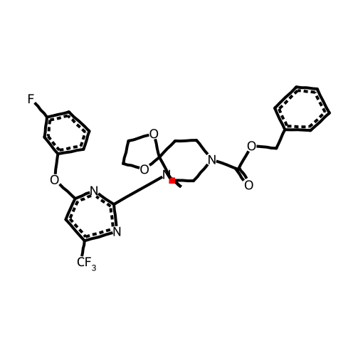 O=C(OCc1ccccc1)N1CCC2(OCCO2)C2(CCN(c3nc(Oc4cccc(F)c4)cc(C(F)(F)F)n3)C2)C1